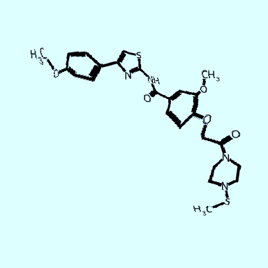 COc1ccc(-c2csc(NC(=O)c3ccc(OCC(=O)N4CCN(SC)CC4)c(OC)c3)n2)cc1